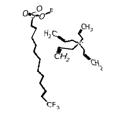 C=CC[N+](CC=C)(CC=C)CC=C.O=S(=O)(CCCCCCCCCCCC(F)(F)F)OF